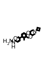 C=C(/C=C\C(=O)NN)c1ccc2c(c1C)COC1(CCN(C3CCC3)CC1)O2